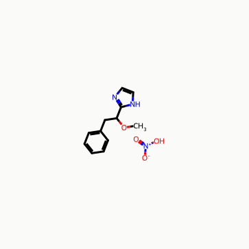 COC(Cc1ccccc1)c1ncc[nH]1.O=[N+]([O-])O